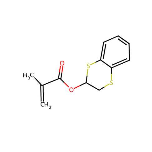 C=C(C)C(=O)OC1CSc2ccccc2S1